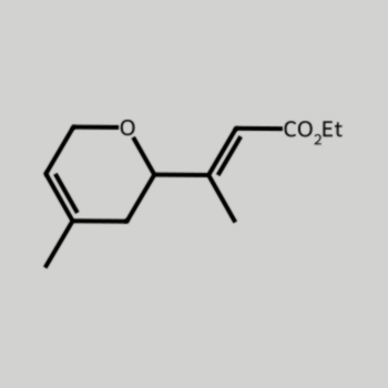 CCOC(=O)C=C(C)C1CC(C)=CCO1